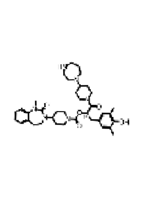 Cc1cc(C[C@@H](OC(=O)N2CCC(N3CCc4ccccc4NC3=O)CC2)C(=O)N2CCC(N3CCCNCC3)CC2)cc(C)c1O